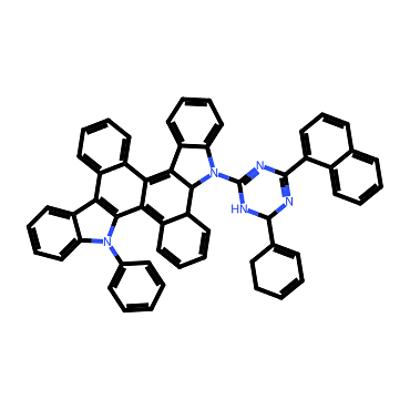 C1=CCCC(C2N=C(c3cccc4ccccc34)N=C(N3c4ccccc4C4=c5c(c6c(c7ccccc57)c5ccccc5n6-c5ccccc5)=C5C=CC=CC5C43)N2)=C1